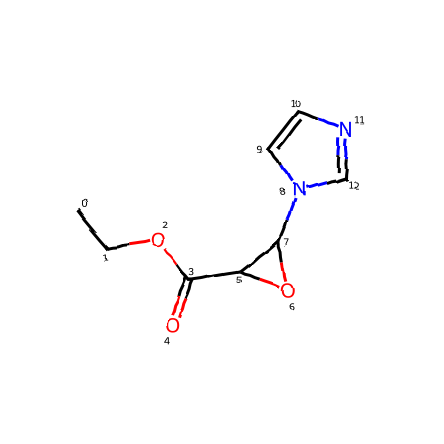 CCOC(=O)C1OC1n1ccnc1